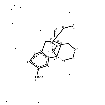 COc1ccc2c(c1)[C@]13CCCC[C@@H]1[C@H](C2)N(CC(C)=O)CC3